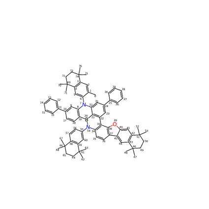 Cc1cc2c(cc1N1c3cc(-c4ccccc4)ccc3B3c4c(cc(-c5ccccc5)cc41)-c1c(ccc4c1oc1cc5c(cc14)C(C)(C)CCC5(C)C)N3c1ccc3c(c1)C(C)(C)CCC3(C)C)C(C)(C)CCC2(C)C